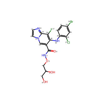 O=C(NOCC(O)CO)c1cn2ccnc2c(F)c1Nc1ccc(Br)cc1Cl